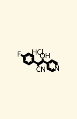 Cl.N#C/C(=C(/O)c1ccncc1)c1ccc(F)cc1